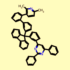 Cc1ccc(-c2ccccc2-c2cccc(C3(c4cccc(-c5cc(-c6ccccc6)nc(-c6ccccc6)n5)c4)c4ccccc4-c4ccccc43)c2)c(C)n1